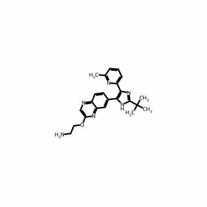 Cc1cccc(-c2nc(C(C)(C)C)[nH]c2-c2ccc3ncc(OCCN)nc3c2)n1